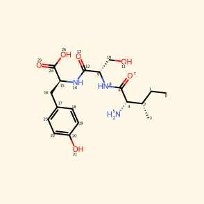 CC[C@H](C)[C@H](N)C(=O)N[C@@H](CO)C(=O)N[C@@H](Cc1ccc(O)cc1)C(=O)O